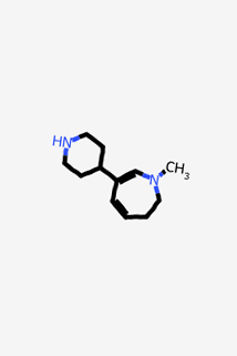 CN1C=C(C2CCNCC2)C=CCC1